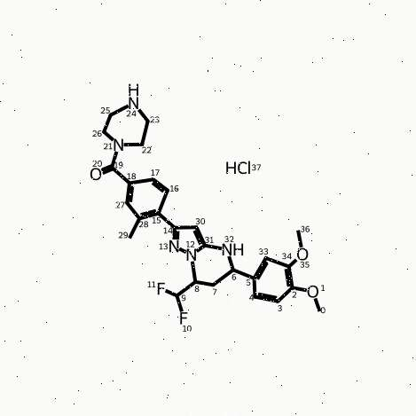 COc1ccc(C2CC(C(F)F)n3nc(-c4ccc(C(=O)N5CCNCC5)cc4C)cc3N2)cc1OC.Cl